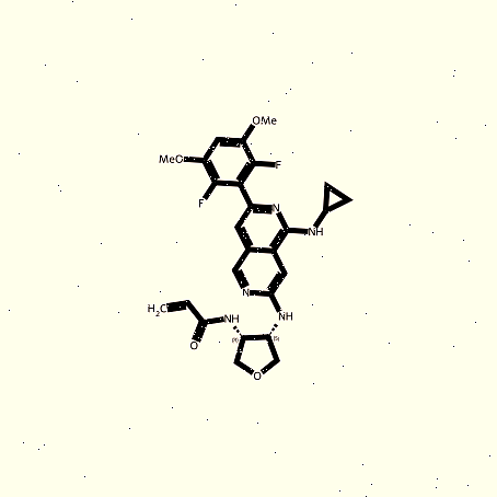 C=CC(=O)N[C@H]1COC[C@H]1Nc1cc2c(NC3CC3)nc(-c3c(F)c(OC)cc(OC)c3F)cc2cn1